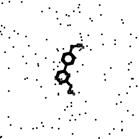 COc1ccc(-c2cnnc(SC)n2)cc1